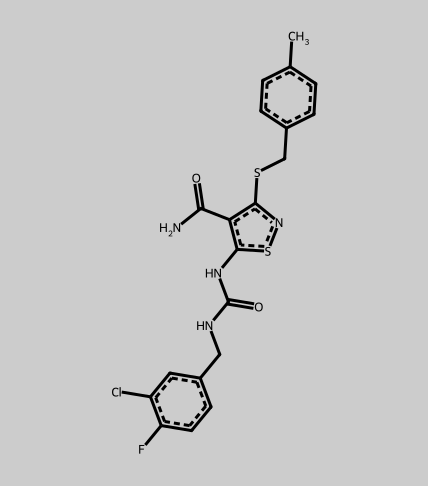 Cc1ccc(CSc2nsc(NC(=O)NCc3ccc(F)c(Cl)c3)c2C(N)=O)cc1